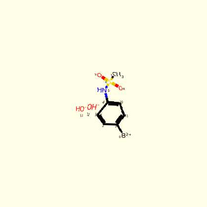 [B+2]c1ccc(NS(C)(=O)=O)cc1.[OH-].[OH-]